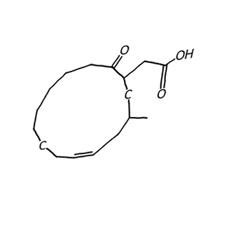 CC1CC=CCCCCCCCC(=O)C(CC(=O)O)C1